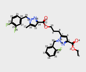 CCOC(=O)c1cc(CCCOC(=O)c2cc(C)n(Cc3ccc(F)c(F)c3)n2)n(Cc2ccccc2F)n1